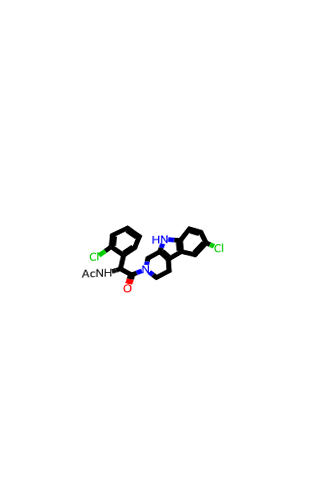 CC(=O)NC(C(=O)N1CCc2c([nH]c3ccc(Cl)cc23)C1)c1ccccc1Cl